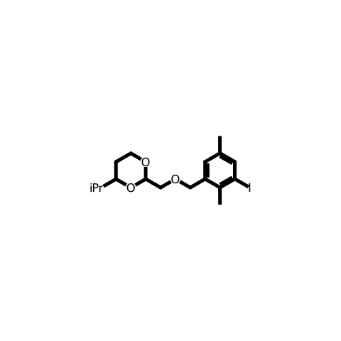 Cc1cc(I)c(C)c(COCC2OCCC(C(C)C)O2)c1